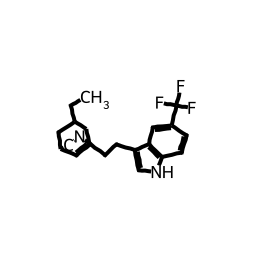 CCC1CC2C=CC1N(CCc1c[nH]c3ccc(C(F)(F)F)cc13)C2